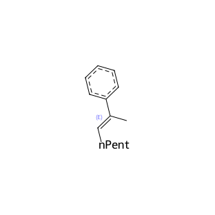 CCCCC/C=C(\C)c1ccccc1